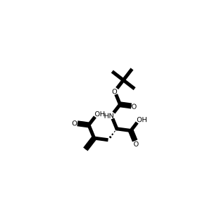 C=C(C[C@H](NC(=O)OC(C)(C)C)C(=O)O)C(=O)O